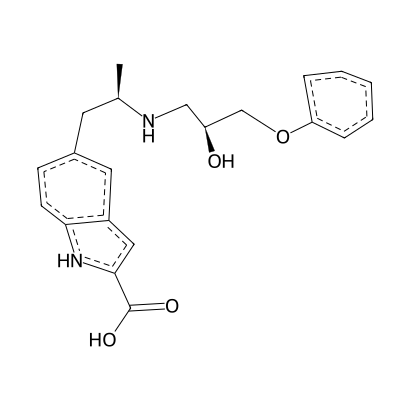 C[C@H](Cc1ccc2[nH]c(C(=O)O)cc2c1)NC[C@H](O)COc1ccccc1